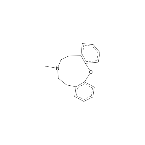 CN1CCc2ccccc2Oc2ccccc2CC1